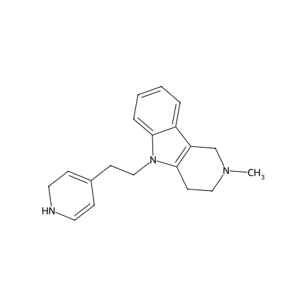 CN1CCc2c(c3ccccc3n2CCC2=CCNC=C2)C1